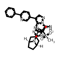 Cc1nnc(N2[C@@H]3CC[C@H]2C[C@@H](c2nc4c(-c5ccc(-c6ccccc6)nc5)cnn4c(N)c2S(C)(=O)=O)C3)[nH]1